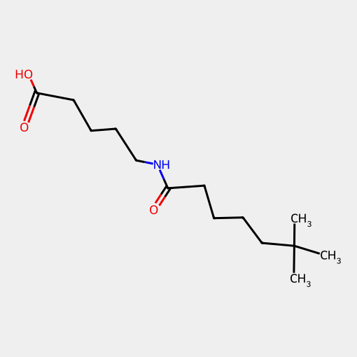 CC(C)(C)CCCCC(=O)NCCCCC(=O)O